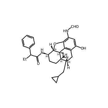 CCC(C(=O)N[C@@H]1CC[C@H]2[C@H]3Cc4c(O)cc(NC=O)c5c4[C@@]2(CCN3CC2CC2)[C@H]1O5)c1ccccc1